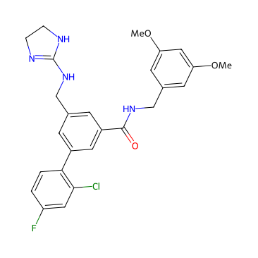 COc1cc(CNC(=O)c2cc(CNC3=NCCN3)cc(-c3ccc(F)cc3Cl)c2)cc(OC)c1